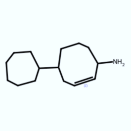 NC1/C=C\CC(C2CCCCCC2)CCC1